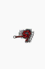 C=C(CCC(O)C1OC(CC(O)C(O)C(C)CCCC(O)C(O)C(O)C(C)CCC(O)C(O)C(C)CC(O)CCCC(O)CCCC(O)/C=C/CC(O)CO)C(O)C(O)C1O)C(O)C(O)C1CC(O)C(O)C(C(O)C(O)/C=C/CCCCCCCC/C=C/C=C/Cl)O1